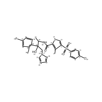 Cc1c(S(=O)(=O)c2ccc(Cl)cc2)csc1C(=O)NC(C)C(O)(Cn1cncn1)c1ccc(F)cc1F